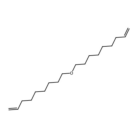 C=CCCCCCCCOCCCCCCCC=C